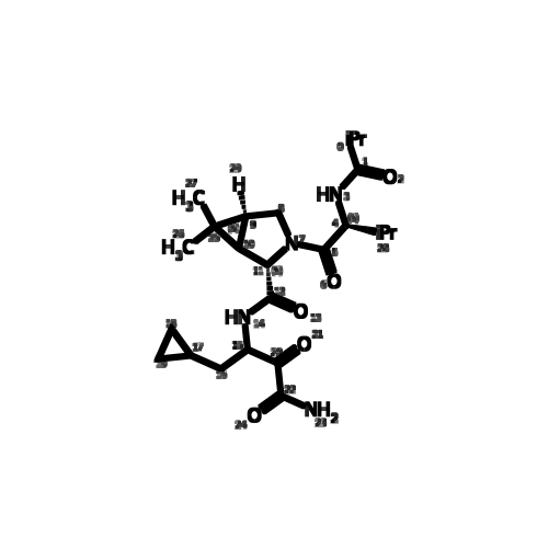 CC(C)C(=O)N[C@H](C(=O)N1C[C@H]2C([C@H]1C(=O)NC(CC1CC1)C(=O)C(N)=O)C2(C)C)C(C)C